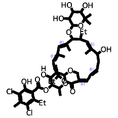 CCc1c(Cl)c(C)c(Cl)c(O)c1C(=O)OC1C(C)OC(OC/C2=C\C=C\CC(O)/C(C)=C/C(CC)C(OC3OC(C)(C)C(O)C(O)C3O)/C(C)=C/C(C)=C/CC(CC)OC2=O)C(C)C1O